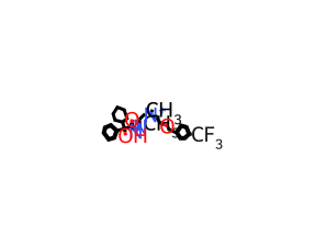 C[N+](C)(CCOCc1ccc(C(F)(F)F)cc1)Cc1nnc(C(O)(c2ccccc2)C2CCCCC2)o1